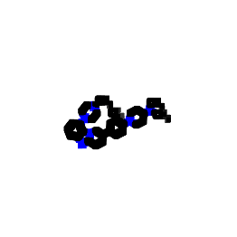 CN1CCN(c2cccc3nc4ccc(-c5ccc(N6CCC(N(C)C)CC6)c(C(F)(F)F)c5)cn4c23)CC1